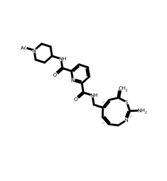 C=C1/C=C(CNC(=O)c2cccc(C(=O)NC3CCN(C(C)=O)CC3)n2)\C=C/C/N=C(/N)S1